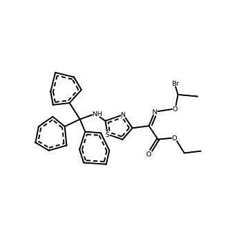 CCOC(=O)C(=NOC(C)Br)c1csc(NC(c2ccccc2)(c2ccccc2)c2ccccc2)n1